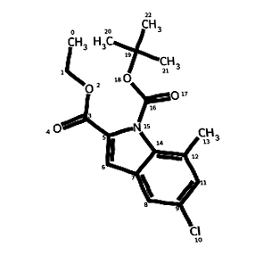 CCOC(=O)c1cc2cc(Cl)cc(C)c2n1C(=O)OC(C)(C)C